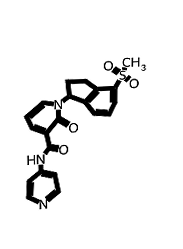 CS(=O)(=O)c1cccc2c1CCC2n1cccc(C(=O)Nc2ccncc2)c1=O